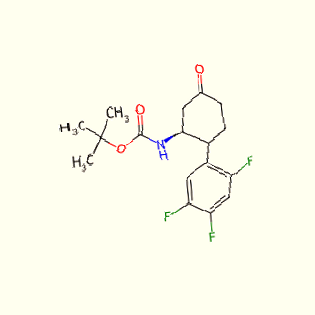 CC(C)(C)OC(=O)N[C@H]1CC(=O)CCC1c1cc(F)c(F)cc1F